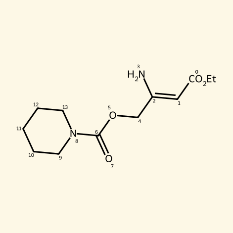 CCOC(=O)C=C(N)COC(=O)N1CCCCC1